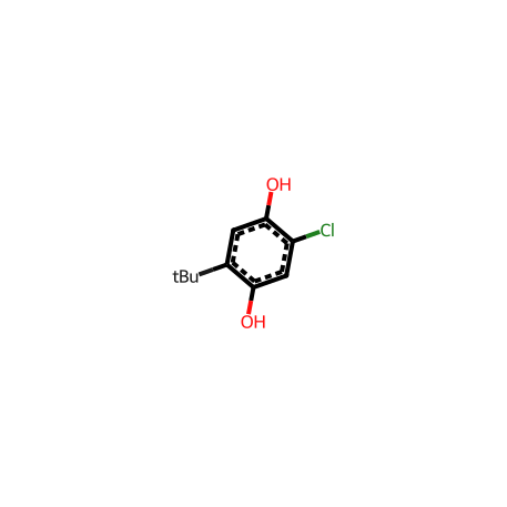 CC(C)(C)c1cc(O)c(Cl)cc1O